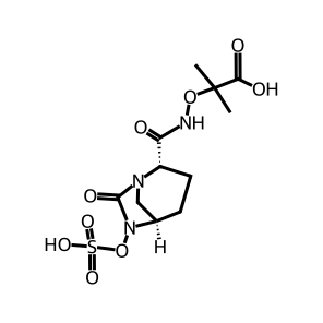 CC(C)(ONC(=O)[C@@H]1CC[C@@H]2CN1C(=O)N2OS(=O)(=O)O)C(=O)O